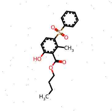 CCCCOC(=O)c1c(O)ccc(S(=O)(=O)c2ccccc2)c1C